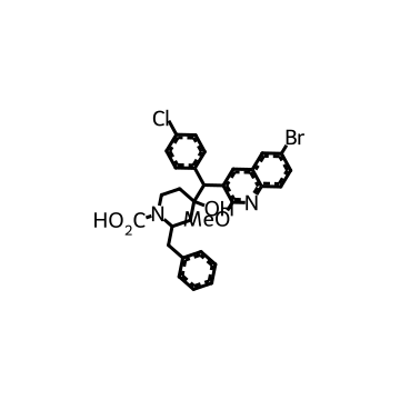 COc1nc2ccc(Br)cc2cc1C(c1ccc(Cl)cc1)C1(O)CCN(C(=O)O)C(Cc2ccccc2)C1